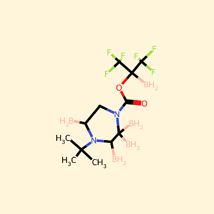 BC1CN(C(=O)OC(B)(C(F)(F)F)C(F)(F)F)C(B)(B)C(B)N1C(C)(C)C